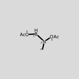 CC(=O)OBN(C)OC(C)=O